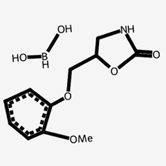 COc1ccccc1OCC1CNC(=O)O1.OBO